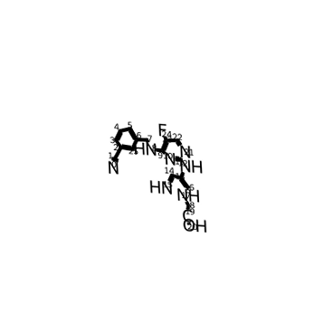 N#Cc1cccc(CNc2nc(N/C(C=N)=C/NCCO)ncc2F)c1